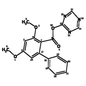 COc1cc(OC)c(C(=O)Oc2ncncn2)c(-c2ccccc2)c1